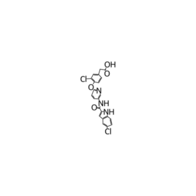 O=C(O)Cc1ccc(Oc2ccc(NC(=O)c3cc4cc(Cl)ccc4[nH]3)cn2)c(Cl)c1